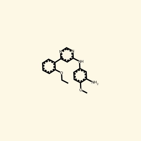 CCOc1ccccc1-c1cc(Nc2ccc(OC)c(N)c2)ncn1